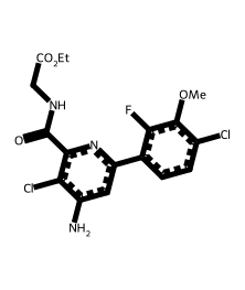 CCOC(=O)CNC(=O)c1nc(-c2ccc(Cl)c(OC)c2F)cc(N)c1Cl